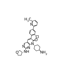 Cc1cccc(-c2ccc(-c3cc4cnc(N[C@@H]5CCOC5)nc4n([C@H]4CC[C@H](N)CC4)c3=O)c(Cl)c2)n1